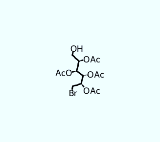 CC(=O)O[C@H]([C@H](OC(C)=O)[C@H](CBr)OC(C)=O)[C@@H](CO)OC(C)=O